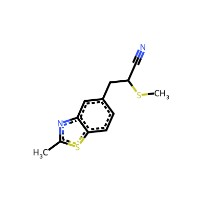 CSC(C#N)Cc1ccc2sc(C)nc2c1